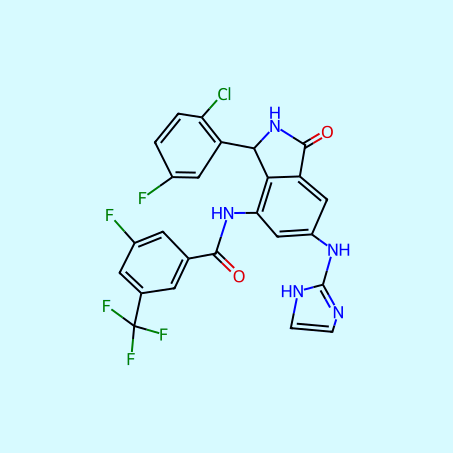 O=C(Nc1cc(Nc2ncc[nH]2)cc2c1C(c1cc(F)ccc1Cl)NC2=O)c1cc(F)cc(C(F)(F)F)c1